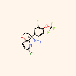 N[C@]1(c2ccc(OC(F)(F)F)c(F)c2)CCOc2ccc(Cl)nc21